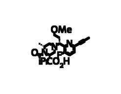 CC#Cc1ccc(F)c([C@@H](CCOC)N2C[C@@H](C)N(C(=O)C(C)C)[C@@H](C(=O)O)C2)n1